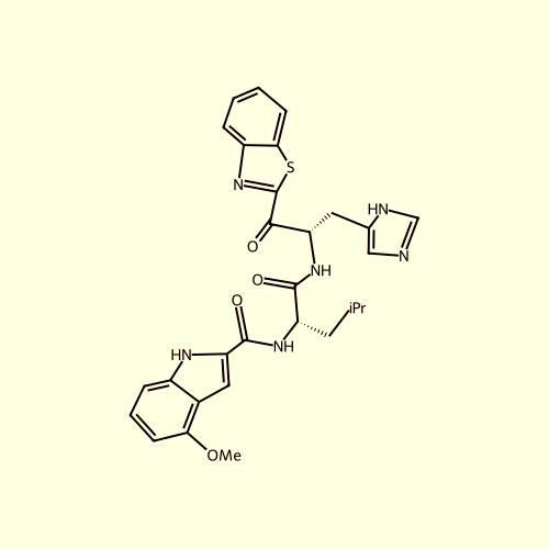 COc1cccc2[nH]c(C(=O)N[C@@H](CC(C)C)C(=O)N[C@@H](Cc3cnc[nH]3)C(=O)c3nc4ccccc4s3)cc12